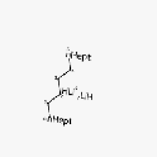 CCCCCCCCCCCCCCCCCC.[LiH].[LiH]